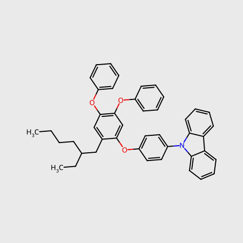 CCCCC(CC)Cc1cc(Oc2ccccc2)c(Oc2ccccc2)cc1Oc1ccc(-n2c3ccccc3c3ccccc32)cc1